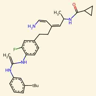 C=C(Nc1cccc(C(C)(C)C)c1)Nc1ccc(CCC(/C=C\N)=C/C(C)NC(=O)C2CC2)cc1F